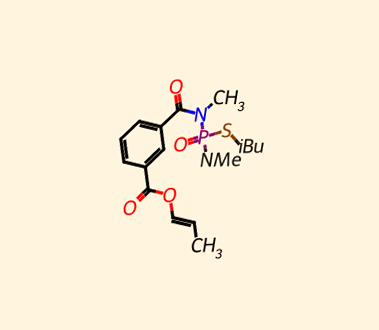 CC=COC(=O)c1cccc(C(=O)N(C)P(=O)(NC)SC(C)CC)c1